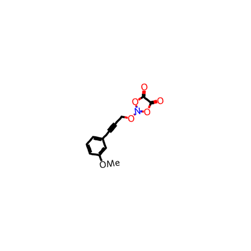 COc1cccc(C#CCOn2oc(=O)c(=O)o2)c1